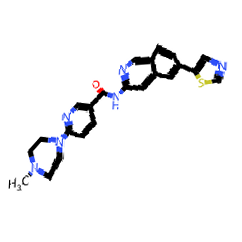 CN1CCN(c2ccc(C(=O)Nc3cc4cc(-c5cncs5)ccc4cn3)cn2)CC1